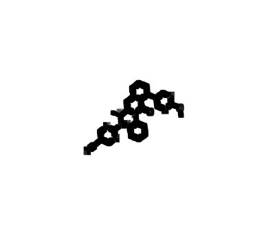 COc1ncc(-c2cccc3cc([C@H](C)Nc4ncc(C#N)cn4)n(-c4ccccc4)c(=O)c23)cn1